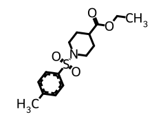 CCOC(=O)C1CCN(S(=O)(=O)c2ccc(C)cc2)CC1